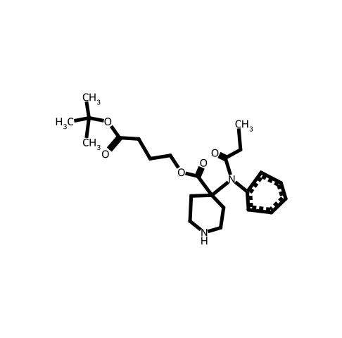 CCC(=O)N(c1ccccc1)C1(C(=O)OCCCC(=O)OC(C)(C)C)CCNCC1